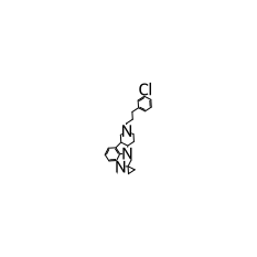 CN1c2cccc3c2N(CC12CC2)C1CCN(CCCc2cccc(Cl)c2)CC31